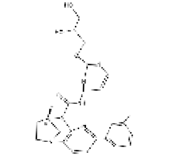 O=C(Nc1ccnc(OCC(O)CO)n1)N1c2nc(-c3cccc(F)c3)ccc2N2CC[C@H]1C2